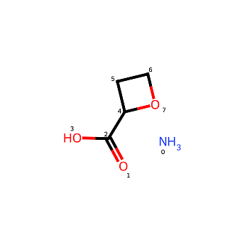 N.O=C(O)C1CCO1